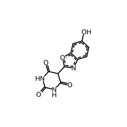 O=C1NC(=O)C(c2nc3ccc(O)cc3o2)C(=O)N1